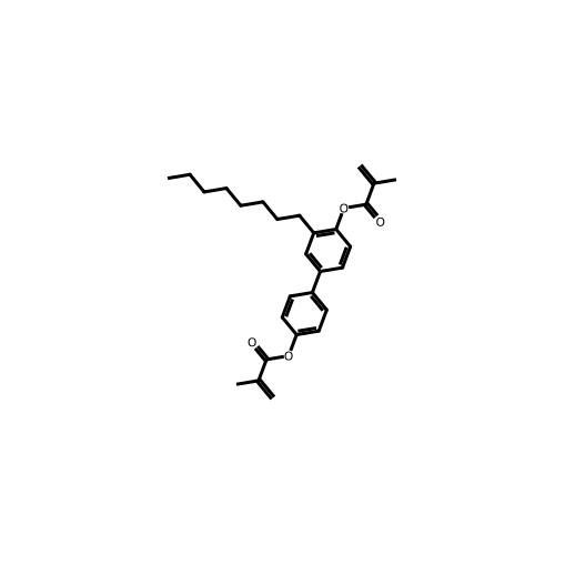 C=C(C)C(=O)Oc1ccc(-c2ccc(OC(=O)C(=C)C)c(CCCCCCCC)c2)cc1